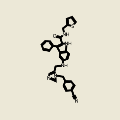 N#Cc1ccc(Cn2cncc2CNc2ccc3[nH]c(C(=O)NCc4cccs4)c(-c4ccccc4)c3c2)cc1